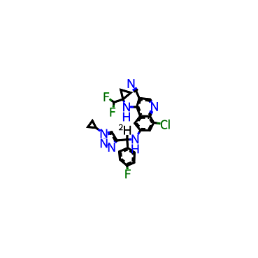 [2H]C(Nc1cc(Cl)c2ncc(C#N)c(NC3(C(F)F)CC3)c2c1)(c1ccc(F)cc1)c1cn(C2CC2)nn1